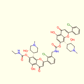 CCNC(=O)Oc1cc(O)c2c(=O)cc(-c3cccc(CNC(=O)Oc4cc(O)c5c(=O)cc(-c6ccccc6Cl)oc5c4[C@H]4CCN(C)C[C@H]4O)c3Cl)oc2c1[C@H]1CCN(C)C[C@H]1O